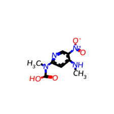 CNc1cc(N(C)C(=O)O)ncc1[N+](=O)[O-]